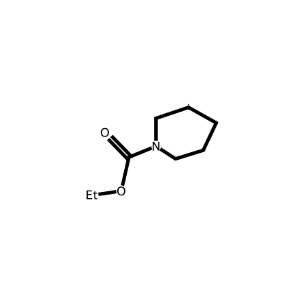 CCOC(=O)N1C[CH]CCC1